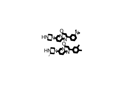 CN(C)c1cccc(-c2cc(=O)n3cc(N4CCNCC4)ccc3n2)c1.Cc1ccc(-c2cc(=O)n3cc(N4CCN[C@@H](C)C4)ccc3n2)cc1C